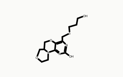 OCCCSCc1nc(O)nc2c1OCC1COCCN21